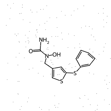 NC(=O)N(O)Cc1csc(Sc2ccccc2)c1